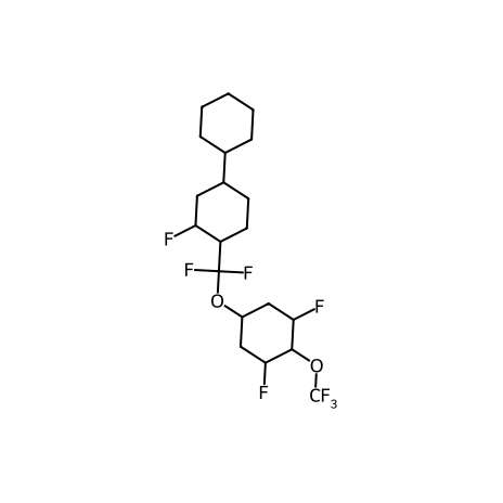 FC1CC(OC(F)(F)C2CCC(C3CCCCC3)CC2F)CC(F)C1OC(F)(F)F